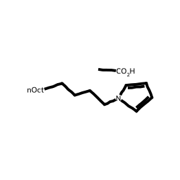 CC(=O)O.CCCCCCCCCCCCn1cccc1